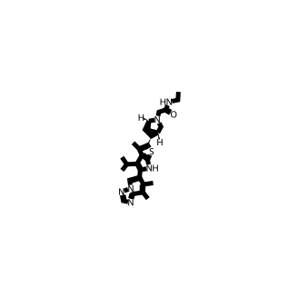 CCNC(=O)CN1C[C@@H]2C[C@H]1C[C@H]2c1sc2[nH]c(-c3cn4ncnc4c(C)c3C)c(C(C)C)c2c1C